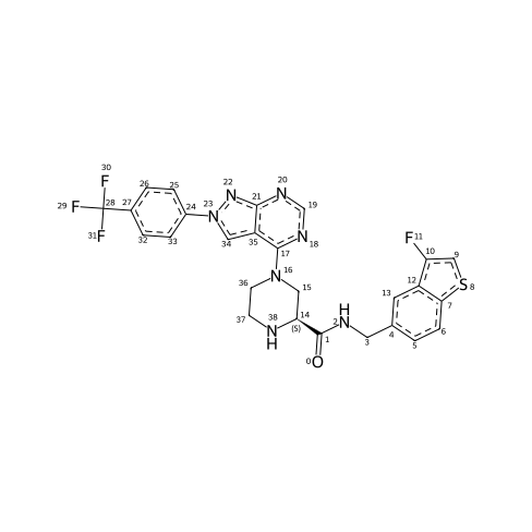 O=C(NCc1ccc2scc(F)c2c1)[C@@H]1CN(c2ncnc3nn(-c4ccc(C(F)(F)F)cc4)cc23)CCN1